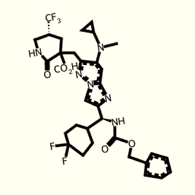 CN(c1cc2nc([C@@H](NC(=O)OCc3ccccc3)C3CCC(F)(F)CC3)cn2nc1CC1(C(=O)O)C[C@@H](C(F)(F)F)CNC1=O)C1CC1